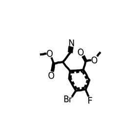 COC(=O)c1cc(F)c(Br)cc1C(C#N)C(=O)OC